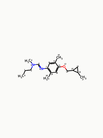 CCCN(C)C=Nc1cc(C)c(OCC2CC2C)cc1C